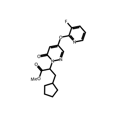 COC(=O)C(CC1CCCC1)n1ncc(Oc2ncccc2F)cc1=O